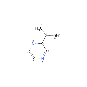 CCCC(C)c1cnccn1